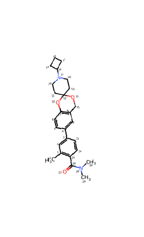 Cc1cc(-c2ccc3c(c2)COC2(CCN(C4CCC4)CC2)O3)ccc1C(=O)N(C)C